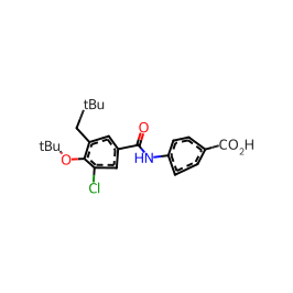 CC(C)(C)Cc1cc(C(=O)Nc2ccc(C(=O)O)cc2)cc(Cl)c1OC(C)(C)C